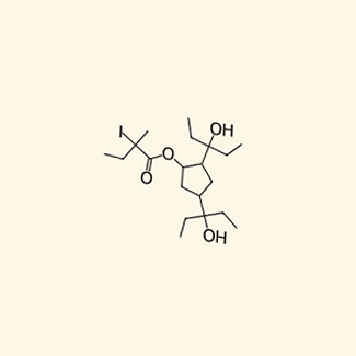 CCC(C)(I)C(=O)OC1CC(C(O)(CC)CC)CC1C(O)(CC)CC